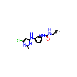 Cc1nc(Cl)cc(Nc2cccc(NC(=O)NCC(C)C)c2)n1